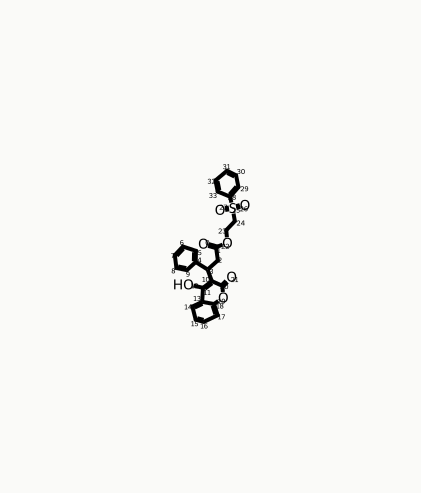 O=C(CC(c1ccccc1)c1c(O)c2ccccc2oc1=O)OCCS(=O)(=O)c1ccccc1